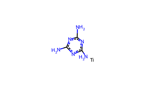 Nc1nc(N)nc(N)n1.[Ti]